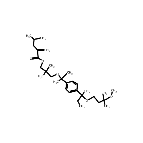 C=C(CC(C)C)C(=O)OCC(C)(C)COC(C)(C)c1ccc(C(C)(CC)OCCC(C)(C)OC)cc1